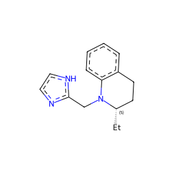 CC[C@H]1CCc2ccccc2N1Cc1ncc[nH]1